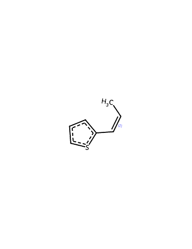 C/C=C\c1cccs1